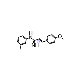 COc1ccc(/C=C/C(=N)Nc2cccc(C)c2)cc1